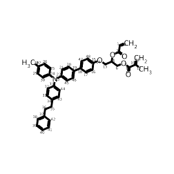 C=CC(=O)OC(COC(=O)C(=C)C)COc1ccc(-c2ccc(N(c3ccc(C)cc3)c3ccc(CCc4ccccc4)cc3)cc2)cc1